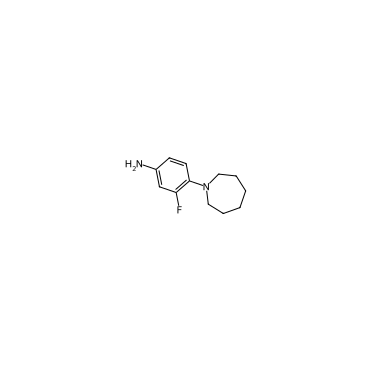 Nc1ccc(N2CCCCCC2)c(F)c1